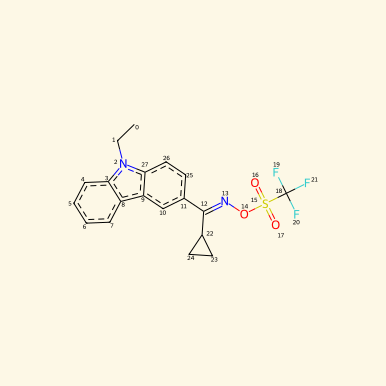 CCn1c2ccccc2c2cc(C(=NOS(=O)(=O)C(F)(F)F)C3CC3)ccc21